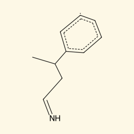 CC(CC=N)c1c[c]ccc1